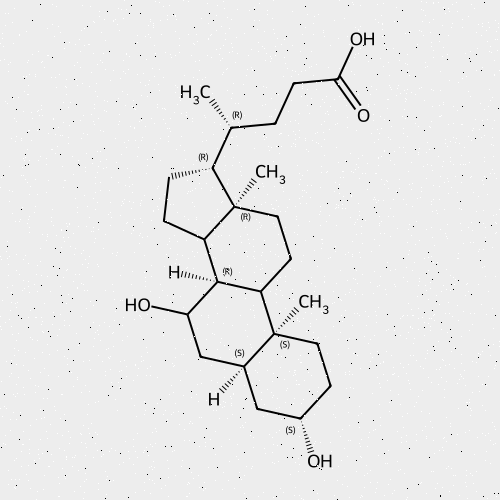 C[C@H](CCC(=O)O)[C@H]1CCC2[C@@H]3C(O)C[C@@H]4C[C@@H](O)CC[C@]4(C)C3CC[C@@]21C